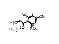 C=CC(OC(=O)O)c1c(Br)cc(C#N)cc1[N+](=O)[O-]